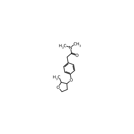 CC1OCCC1Oc1ccc(CC(=O)N(C)C)cc1